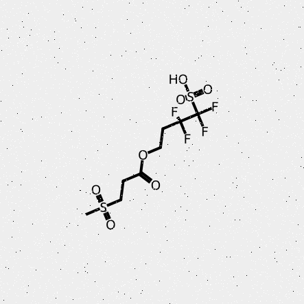 CS(=O)(=O)CCC(=O)OCCC(F)(F)C(F)(F)S(=O)(=O)O